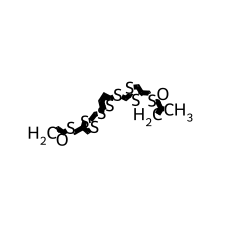 C=CC(=O)SCC1CSC(CSc2ccc(SCC3SCC(CSC(=O)C(=C)C)S3)s2)S1